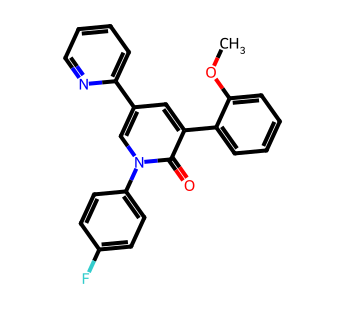 COc1ccccc1-c1cc(-c2ccccn2)cn(-c2ccc(F)cc2)c1=O